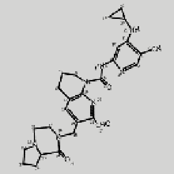 N#Cc1cnc(NC(=O)N2CCCc3cc(CN4CCN5CCCC5C4=O)c(C=O)nc32)cc1NC1CC1